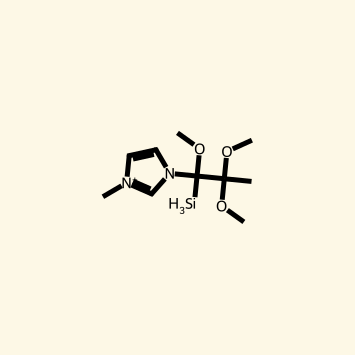 COC(C)(OC)C([SiH3])(OC)n1cc[n+](C)c1